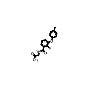 Cc1ccc(Oc2cccc(C(=O)NCC(=O)O)c2F)cc1